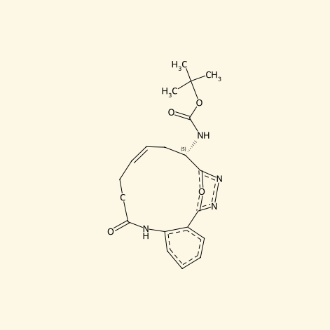 CC(C)(C)OC(=O)N[C@H]1CC=CCCC(=O)Nc2ccccc2-c2nnc1o2